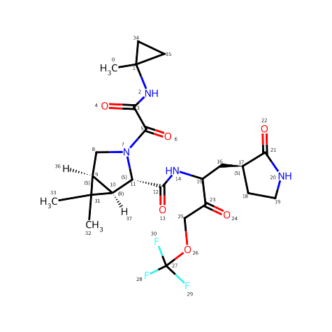 CC1(NC(=O)C(=O)N2C[C@H]3[C@@H]([C@H]2C(=O)NC(C[C@@H]2CCNC2=O)C(=O)COC(F)(F)F)C3(C)C)CC1